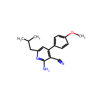 COc1ccc(-c2cc(CC(C)C)nc(N)c2C#N)cc1